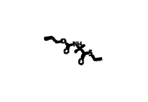 C=CCOC(=O)NC(C)(C)C(=O)SCC